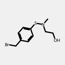 CN(CCO)Sc1ccc(CBr)cc1